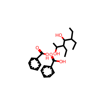 CCC(CC)C(O)C(CC)C(C)O.O=C(O)c1ccccc1.O=C(O)c1ccccc1